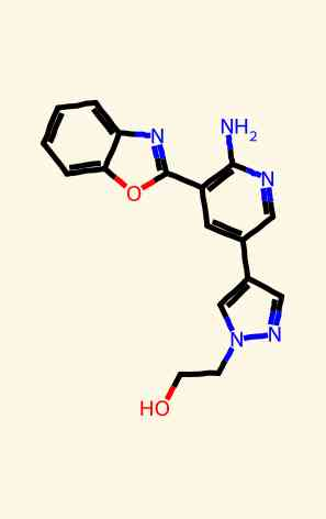 Nc1ncc(-c2cnn(CCO)c2)cc1-c1nc2ccccc2o1